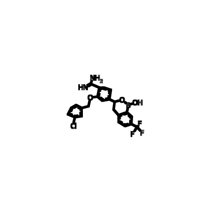 N=C(N)c1ccc(C2Cc3ccc(C(F)(F)F)cc3B(O)O2)cc1OCc1cccc(Cl)c1